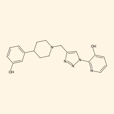 Oc1cccc(C2CCN(Cc3cn(-c4ncccc4O)nn3)CC2)c1